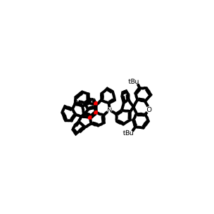 CC(C)(C)c1ccc2c(c1)C1(c3cc(C(C)(C)C)ccc3O2)c2ccccc2-c2c(N(c3ccc4c(c3)C3(c5ccccc5Sc5ccccc53)c3ccccc3-4)c3ccccc3-c3cccc4ccccc34)cccc21